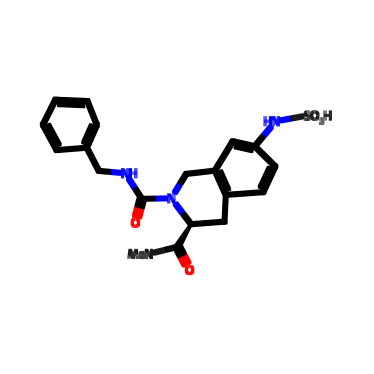 CNC(=O)[C@@H]1Cc2ccc(NS(=O)(=O)O)cc2CN1C(=O)NCc1ccccc1